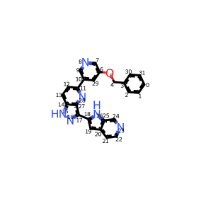 c1ccc(COc2cncc(-c3ccc4[nH]nc(-c5cc6ccncc6[nH]5)c4n3)c2)cc1